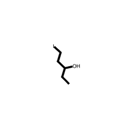 CCC(O)CCI